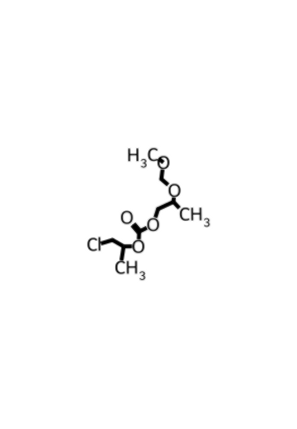 COCOC(C)COC(=O)OC(C)CCl